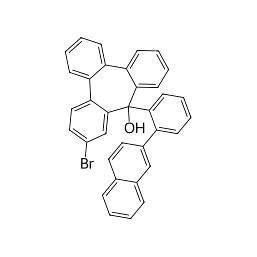 OC1(c2ccccc2-c2ccc3ccccc3c2)c2ccccc2-c2ccccc2-c2ccc(Br)cc21